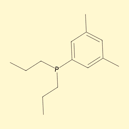 CCCP(CCC)c1cc(C)cc(C)c1